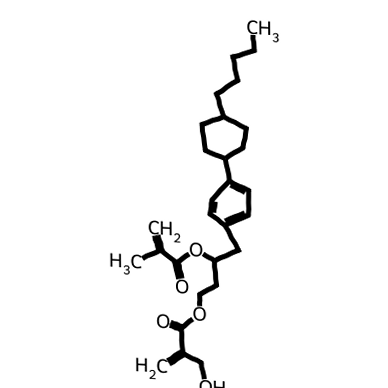 C=C(C)C(=O)OC(CCOC(=O)C(=C)CO)Cc1ccc(C2CCC(CCCCC)CC2)cc1